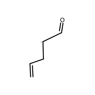 C=CC[CH]C=O